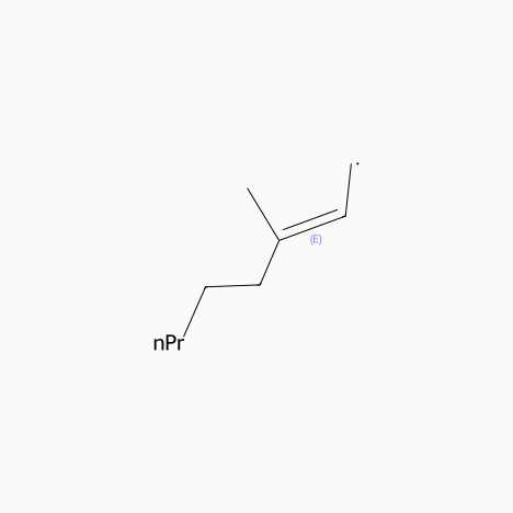 [CH2]/C=C(\C)CCCCC